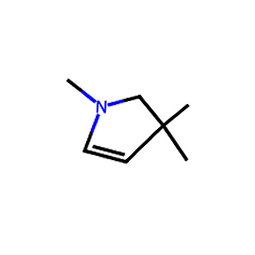 CN1C=CC(C)(C)C1